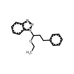 CCOC(CCc1ccccc1)n1nnc2ccccc21